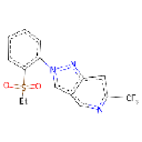 CCS(=O)(=O)c1ccccc1-n1cc2cnc(C(F)(F)F)cc2n1